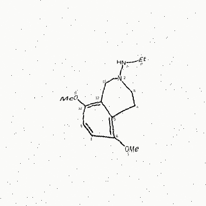 CCNN1CCc2c(OC)ccc(OC)c2C1